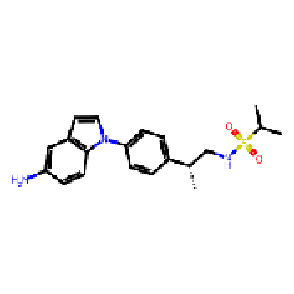 CC(C)S(=O)(=O)NC[C@H](C)c1ccc(-n2ccc3cc(N)ccc32)cc1